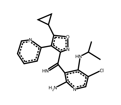 CC(C)Nc1c(Cl)cnc(N)c1C(=N)c1noc(C2CC2)c1-c1ccccn1